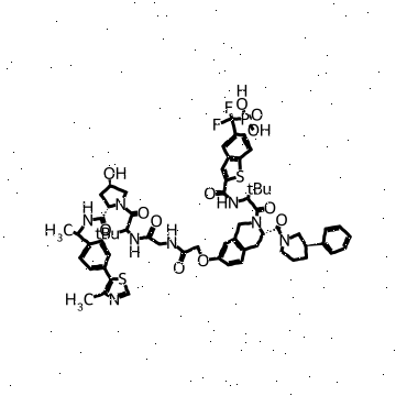 Cc1ncsc1-c1ccc(C(C)NC(=O)[C@@H]2C[C@@H](O)CN2C(=O)C(NC(=O)CNC(=O)COc2ccc3c(c2)CN(C(=O)C(NC(=O)c2cc4cc(C(F)(F)P(=O)(O)O)ccc4s2)C(C)(C)C)[C@H](C(=O)N2CCC[C@H](c4ccccc4)C2)C3)C(C)(C)C)cc1